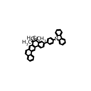 CC1(C)c2cc(-c3ccc(-n4c5ccccc5c5ccccc54)cc3)ccc2-c2cc3c(ccc4ccccc43)cc2C1(C)C